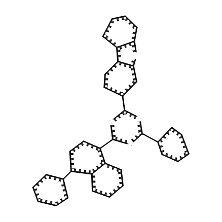 c1ccc(-c2nc(-c3ccc4c(c3)oc3ccccc34)nc(-c3ccc(-c4ccccc4)c4ccccc34)n2)cc1